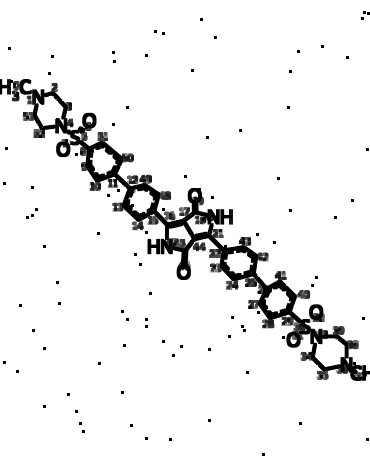 CN1CCN(S(=O)(=O)c2ccc(-c3ccc(C4=C5C(=O)NC(c6ccc(-c7ccc(S(=O)(=O)N8CCN(C)CC8)cc7)cc6)=C5C(=O)N4)cc3)cc2)CC1